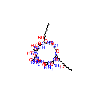 CCCCCCCCCCC(O)CCC1NC(=O)C(C(C)O)NC(=O)C(C(C)O)NC(=O)C(CC(O)C(N)=O)NC(=O)C(C)NC(=O)C(CC(N)=O)NC(=O)C(CC(N)=O)NC(=O)C(CCCCCCCC(O)CCCCCC)NC(=O)CCNC(=O)CNC1=O